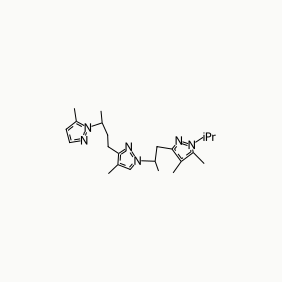 Cc1cn(C(C)Cc2nn(C(C)C)c(C)c2C)nc1CCC(C)n1nccc1C